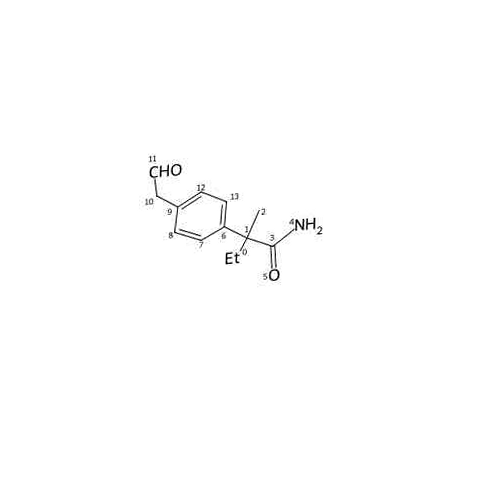 CCC(C)(C(N)=O)c1ccc(CC=O)cc1